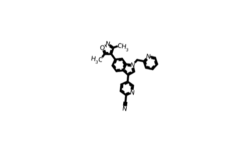 Cc1noc(C)c1-c1ccc2c(-c3ccc(C#N)nc3)cn(Cc3ccccn3)c2c1